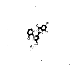 COc1cc(-c2nc3c(Cl)cc(Br)cc3c(=O)o2)n(-c2ncccc2Cl)n1